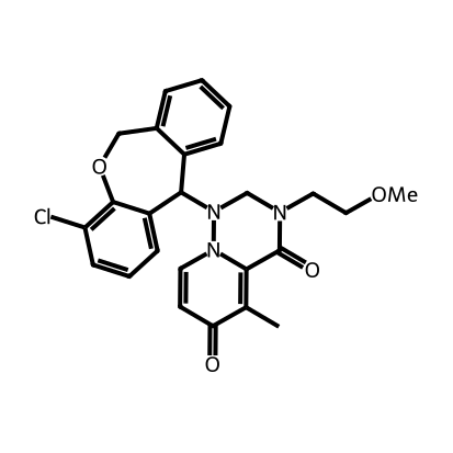 COCCN1CN(C2c3ccccc3COc3c(Cl)cccc32)n2ccc(=O)c(C)c2C1=O